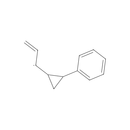 C=C[CH]C1CC1c1ccccc1